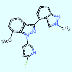 COc1cccc2c(-c3cccc4nn(C)cc34)nn(-c3ccc(F)nc3)c12